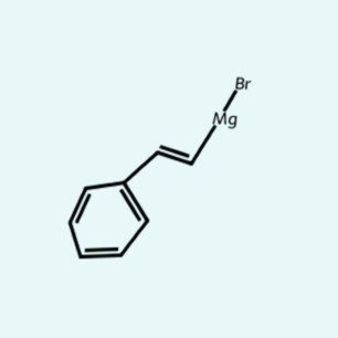 [Br][Mg][CH]=Cc1ccccc1